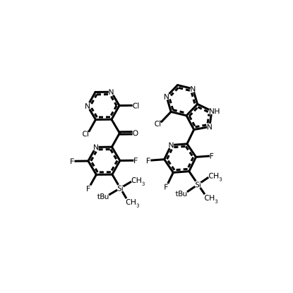 CC(C)(C)[Si](C)(C)c1c(F)c(F)nc(-c2n[nH]c3ncnc(Cl)c23)c1F.CC(C)(C)[Si](C)(C)c1c(F)c(F)nc(C(=O)c2c(Cl)ncnc2Cl)c1F